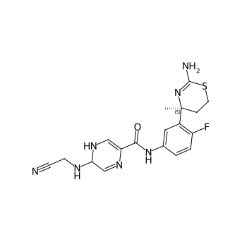 C[C@@]1(c2cc(NC(=O)C3=CNC(NCC#N)C=N3)ccc2F)CCSC(N)=N1